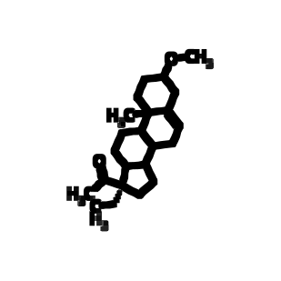 CC[C@@]1(C(C)=O)CCC2C3CC=C4CC(OC)CCC4(C)C3CCC21